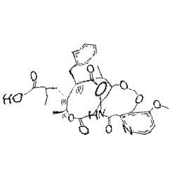 COc1ccnc2c1OCOC(C(C)C)C1(CC(=O)O[C@@H](C)[C@H](CC(C)C(=O)O)[C@@H](Cc3ccccc3)C(=O)O1)NC2=O